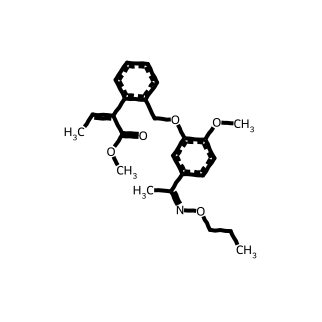 CC=C(C(=O)OC)c1ccccc1COc1cc(/C(C)=N\OCCC)ccc1OC